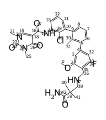 COc1cc(-c2cccc(-c3cccc(NC(=O)c4cn(C)c(=O)n(C)c4=O)c3Cl)c2C)cc(F)c1CNCC(C)(C)C(N)=O